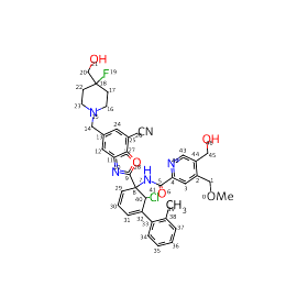 COCc1cc(C(=O)NC2(c3nc4cc(CN5CCC(F)(CO)CC5)cc(C#N)c4o3)C=CC=C(c3ccccc3C)C2Cl)ncc1CO